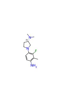 Cc1c(N)ccc(N2CC[C@H](N(C)C)C2)c1F